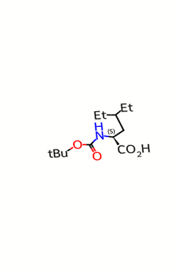 CCC(CC)C[C@H](NC(=O)OC(C)(C)C)C(=O)O